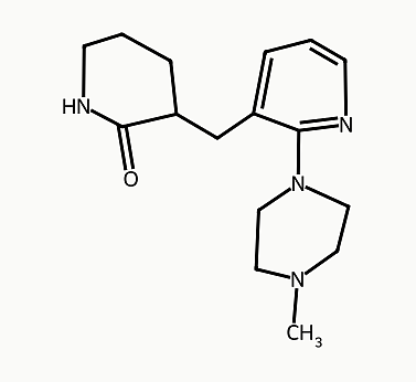 CN1CCN(c2ncccc2CC2CCCNC2=O)CC1